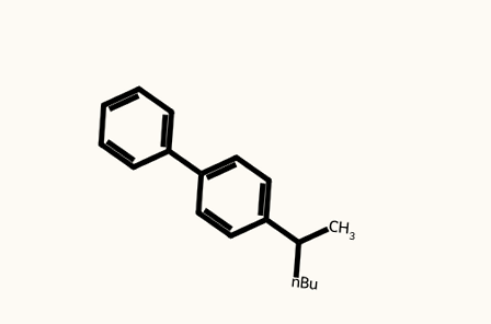 CCCCC(C)c1ccc(-c2ccccc2)cc1